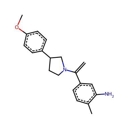 C=C(c1ccc(C)c(N)c1)N1CCC(c2ccc(OC)cc2)C1